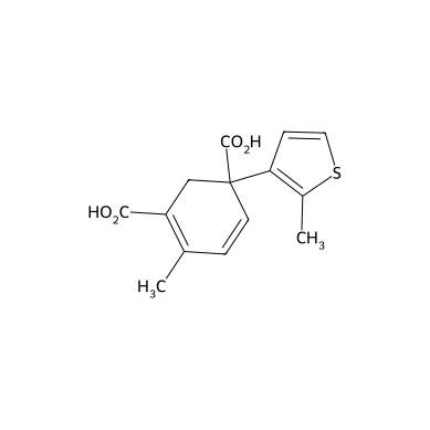 CC1=C(C(=O)O)CC(C(=O)O)(c2ccsc2C)C=C1